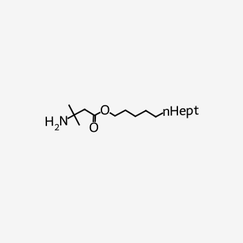 CCCCCCCCCCCCOC(=O)CC(C)(C)N